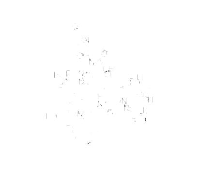 CCc1ccc(-c2ccc(Cl)c3c(N(C(=O)CN4CCOCC4)[S+](C)[O-])nn(CC(F)(F)F)c23)c(C(Cc2cc(F)cc(F)c2)NC(=O)Cn2nc(C(F)(F)F)c3c2C(F)(F)[C@@H]2C[C@H]32)n1